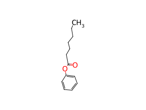 CCCCCCC(=O)Oc1ccccc1